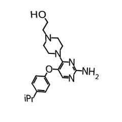 CC(C)c1ccc(Oc2cnc(N)nc2N2CCN(CCO)CC2)cc1